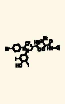 CC[C@H](NC(=O)CCN(c1cc(I)c(O)c(I)c1)[C@@H](c1ccc(Br)cc1)C(F)(F)F)C(=O)C(=O)NC1CC1